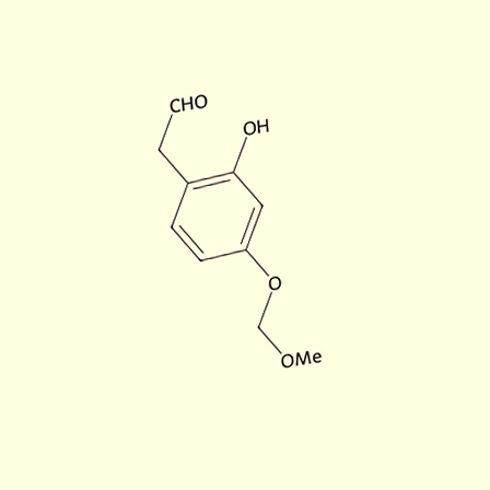 COCOc1ccc(CC=O)c(O)c1